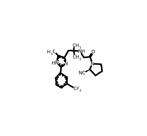 Cc1[nH]c(-c2cccc(C(F)(F)F)c2)nc1CC(C)(C)NCC(=O)N1CCC[C@H]1C#N